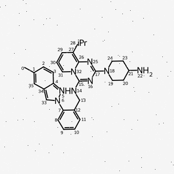 Cc1ccc2nn(-c3ccccc3CNC3=NC(N4CCC(N)CC4)=NC4=C(C(C)C)C=C=CN34)cc2c1